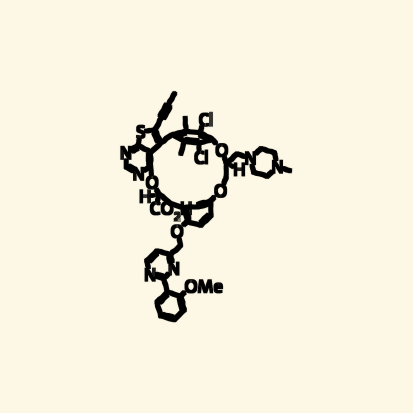 CC#Cc1sc2ncnc3c2c1-c1c(C)c(Cl)c(c(Cl)c1C)O[C@H](CN1CCN(C)CC1)COc1ccc(OCc2ccnc(-c4ccccc4OC)n2)c(c1)C[C@H](C(=O)O)O3